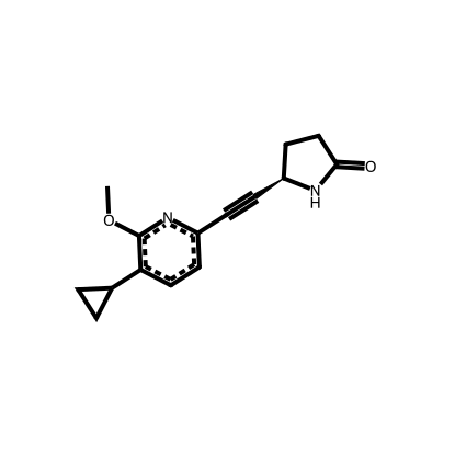 COc1nc(C#C[C@H]2CCC(=O)N2)ccc1C1CC1